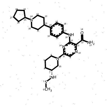 CSN[C@@H]1CCCN(c2cnc(C(N)=O)c(Nc3ccc(C4CCN(C5CCCC5)CC4)cc3)n2)C1